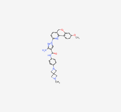 COc1ccc2c(c1)OCc1ccc(-n3cc(C(=O)Nc4ccc(N5CC6(CN(C)C6)C5)cc4)c(N)n3)nc1-2